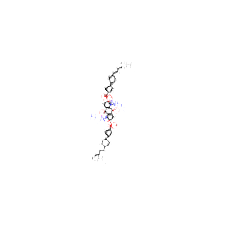 CCCCCC1CCC(c2ccc(C(=O)Oc3ccc4c(c3N)C(=O)c3ccc(OC(=O)c5ccc(C6CCC(CCCCC)CC6)cc5)c(N)c3C4=O)cc2)CC1